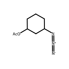 CC(=O)OC1CCCC(N=[N+]=[N-])C1